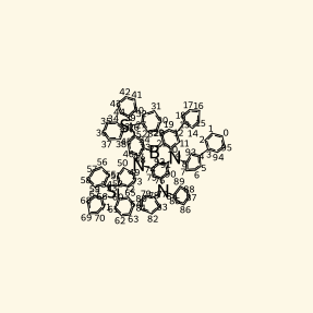 c1ccc(-c2cccc(N3c4cc(-c5ccccc5)ccc4B4c5cc([Si](c6ccccc6)(c6ccccc6)c6ccccc6)ccc5N(c5ccc([Si](c6ccccc6)(c6ccccc6)c6ccccc6)cc5)c5cc(N(c6ccccc6)c6ccccc6)cc3c54)c2)cc1